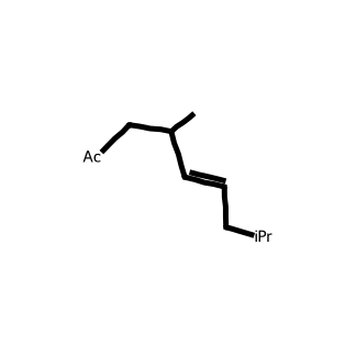 CC(=O)CC(C)C=CCC(C)C